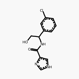 O=C(NC(CO)c1cccc(Cl)c1)c1c[nH]cn1